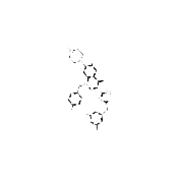 CN1CCN(c2cc3c(cc2F)c(=O)c(-c2noc(Cc4cc(F)cc(F)c4)n2)cn3Cc2ccc(Cl)cc2)CC1